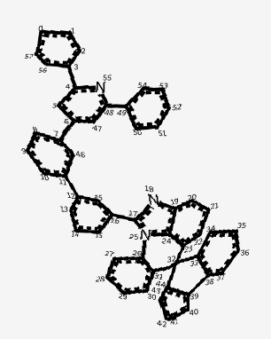 c1ccc(-c2cc(-c3cccc(-c4cccc(-c5nc6cccc7c6n5-c5ccccc5C75c6ccccc6-c6ccccc65)c4)c3)cc(-c3ccccc3)n2)cc1